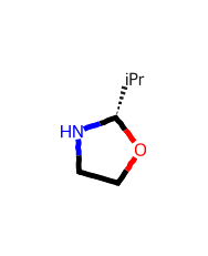 CC(C)[C@H]1NCCO1